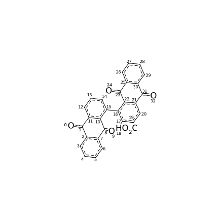 O=C1c2ccccc2C(=O)c2c1cccc2-c1c(C(=O)O)ccc2c1C(=O)c1ccccc1C2=O